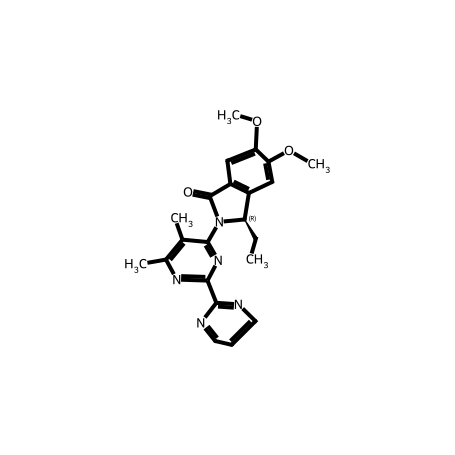 CC[C@@H]1c2cc(OC)c(OC)cc2C(=O)N1c1nc(-c2ncccn2)nc(C)c1C